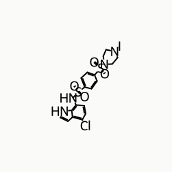 O=S(=O)(Nc1ccc(Cl)c2cc[nH]c12)c1ccc(S(=O)(=O)N2CCN(I)CC2)cc1